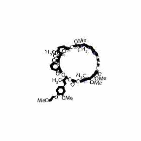 COCCO[C@@H]1CC[C@@H](C[C@@H](C)[C@@H]2CC(=O)C/C=C(\C)[C@@H](OC)[C@@H](OC)C(=O)CCC/C=C/C=C/C=C(\C)[C@@H](OC)C[C@@H]3CC[C@@H](C)[C@@](O)(O3)C(=O)C(=O)N3CCCC[C@H]3C(=O)O2)C[C@H]1OC